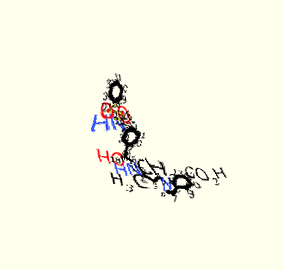 CC(C)(CCn1ccc2ccc(C(=O)O)cc21)NC[C@H](O)c1cccc(NS(=O)(=O)c2ccccc2)c1